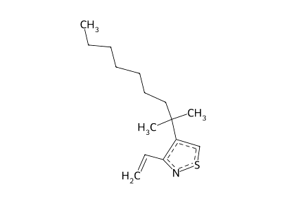 C=Cc1nscc1C(C)(C)CCCCCCC